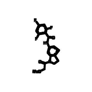 COCC(=O)N1CCc2ccc(NC(=O)c3c(F)cc(F)cc3F)cc21